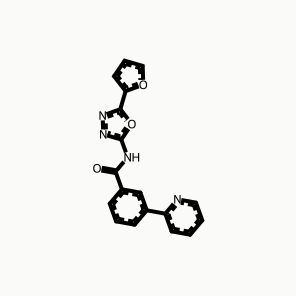 O=C(Nc1nnc(-c2ccco2)o1)c1cccc(-c2ccccn2)c1